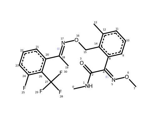 CNC(=O)/C(=N/OC)c1cccc(C)c1CO/N=C(\C)c1cccc(F)c1C(F)(F)F